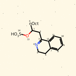 CCCCCCCCC(CC1=NCCc2ccccc21)OS(=O)(=O)O